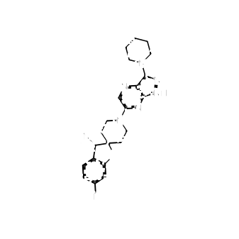 N[C@@H]1c2ccc(F)cc2OC12CCN(c1cnc3c(N4CCCCC4)n[nH]c3n1)CC2